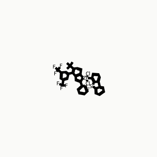 CC(C)(C)c1ccc2c(c1-c1cc(C(F)(F)F)cc(C(F)(F)F)c1)C=C(c1ccccc1)[CH]2[Zr]([Cl])([Cl])[c]1cccc2c1[SiH2]c1ccccc1-2